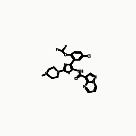 CN1CCN(c2nc(-c3cc(Cl)ccc3OC(F)F)c(NC(=O)c3cnn4cccnc34)s2)CC1